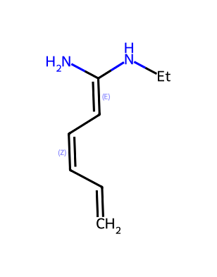 C=C/C=C\C=C(/N)NCC